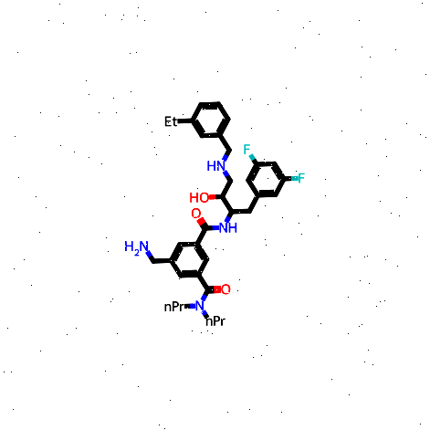 CCCN(CCC)C(=O)c1cc(CN)cc(C(=O)NC(Cc2cc(F)cc(F)c2)C(O)CNCc2cccc(CC)c2)c1